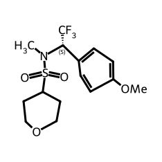 COc1ccc([C@H](N(C)S(=O)(=O)C2CCOCC2)C(F)(F)F)cc1